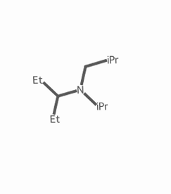 CCC(CC)N(CC(C)C)C(C)C